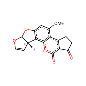 COc1cc2c(c3oc(=O)c4c(c13)CCC4=O)[C@@H]1C=COC1O2